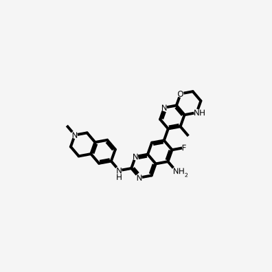 Cc1c(-c2cc3nc(Nc4ccc5c(c4)CCN(C)C5)ncc3c(N)c2F)cnc2c1NCCO2